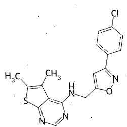 Cc1sc2ncnc(NCc3cc(-c4ccc(Cl)cc4)no3)c2c1C